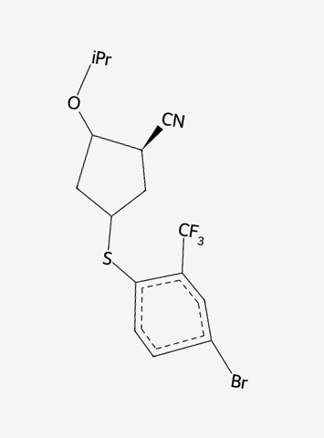 CC(C)OC1CC(Sc2ccc(Br)cc2C(F)(F)F)C[C@@H]1C#N